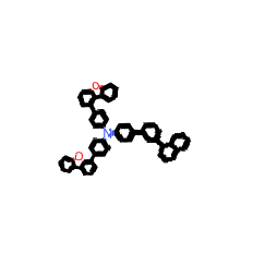 C1=CC2=CC=CC(c3cccc(-c4ccc(N(c5ccc(-c6cccc7c6oc6ccccc67)cc5)c5ccc(-c6cccc7oc8ccccc8c67)cc5)cc4)c3)C2C=C1